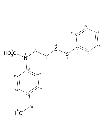 O=C(O)N(CCSSc1ccccn1)c1ccc(CO)cc1